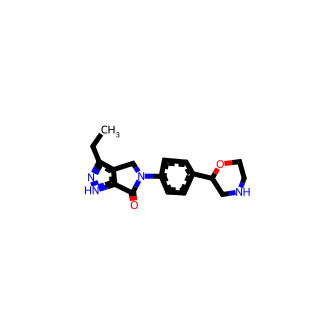 CCc1n[nH]c2c1CN(c1ccc(C3CNCCO3)cc1)C2=O